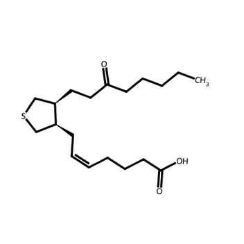 CCCCCC(=O)CC[C@@H]1CSC[C@@H]1C/C=C\CCCC(=O)O